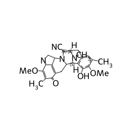 COC1=C(C)C(=O)C2=C3C1=NCC3N1C(C2)[C@@H]2c3c(cc(C)c(OC)c3O)C[C@H]([C@@H]1C#N)N2C